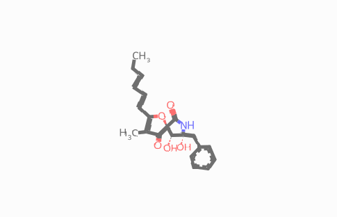 CC/C=C/C=C/C1=C(C)C(=O)[C@]2(O1)C(=O)N[C@@](O)(Cc1ccccc1)[C@@H]2O